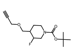 C#CCOCC1CCN(C(=O)OC(C)(C)C)CC1F